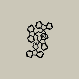 OCC1(CCC2(CCC3(CCC4(CO)c5ccccc5-c5ccccc54)c4ccccc4-c4ccccc43)c3ccccc3-c3ccccc32)c2ccccc2-c2ccccc21